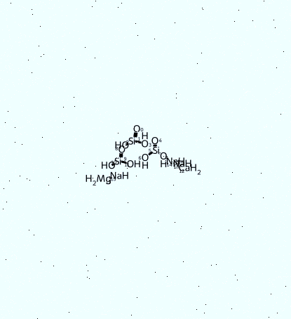 O=[Si](O)O.O=[Si](O)O.O=[Si](O)O.[CaH2].[MgH2].[NaH].[NaH].[NaH]